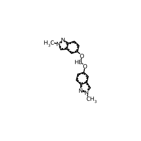 Cn1cc2cc(OBOc3ccc4nn(C)cc4c3)ccc2n1